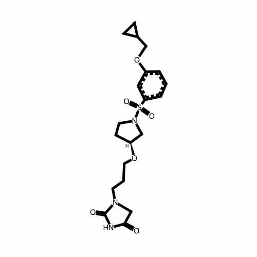 O=C1CN(CCCO[C@H]2CCN(S(=O)(=O)c3cccc(OCC4CC4)c3)C2)C(=O)N1